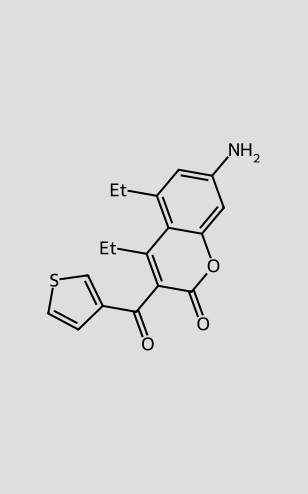 CCc1cc(N)cc2oc(=O)c(C(=O)c3ccsc3)c(CC)c12